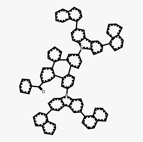 O=C(c1ccccc1)c1ccc2c(c1)-c1cc(-n3c4ccc(-c5cccc6ccccc56)cc4c4cc(-c5cccc6ccccc56)ccc43)ccc1-c1ccc(-n3c4ccc(-c5cccc6ccccc56)cc4c4cc(-c5cccc6ccccc56)ccc43)cc1-c1ccccc1-2